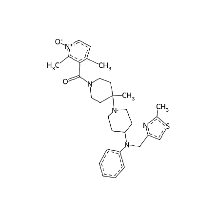 Cc1nc(CN(c2ccccc2)C2CCN(C3(C)CCN(C(=O)c4c(C)cc[n+]([O-])c4C)CC3)CC2)cs1